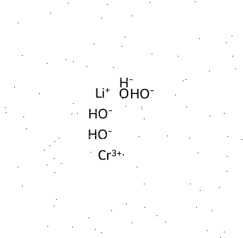 [Cr+3].[Li+].[OH-].[OH-].[OH-].[OH-]